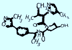 Cc1cnn(C(C(=O)N2CC(O)CC2C(=O)NC(C)c2ccc(-c3conc3C)cc2)C(C)C)c1